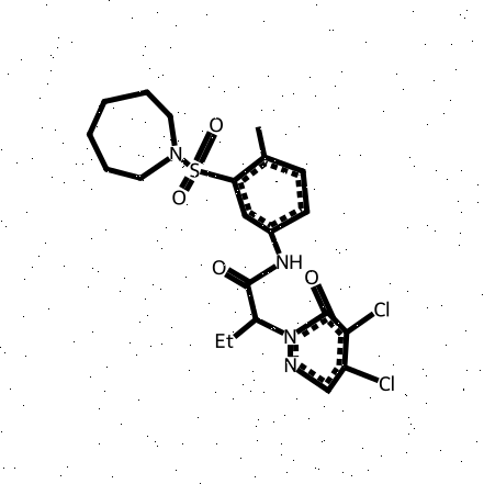 CCC(C(=O)Nc1ccc(C)c(S(=O)(=O)N2CCCCCC2)c1)n1ncc(Cl)c(Cl)c1=O